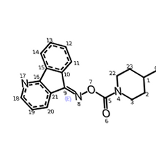 CC1CCN(C(=O)O/N=C2\c3ccccc3-c3ncccc32)CC1